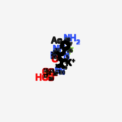 CC(=O)c1cc(-c2ncc(-c3cnn(COP(=O)([O-])O)c3)c3onc(N)c23)c(F)cc1N.[K+]